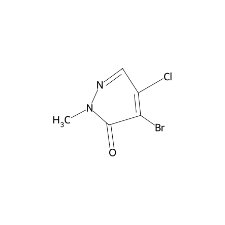 Cn1ncc(Cl)c(Br)c1=O